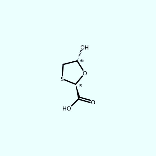 O=C(O)[C@@H]1O[C@@H](O)CS1